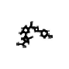 CCC(CC)c1nc(C)c(-c2cc(C(=O)N3CC(c4ccc(C#N)cc4)C3)ccc2C)[nH]1